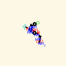 CC(C)(CNC(=O)C(N)=O)CNC(=O)c1ccc(Nc2nc(NC3(c4ccc(Cl)cc4)CC3)nc(OCC(F)(F)F)n2)c(O)c1